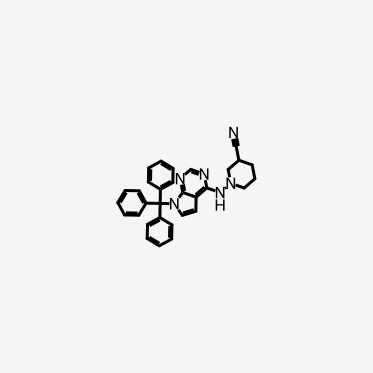 N#CC1CCCN(Nc2ncnc3c2ccn3C(c2ccccc2)(c2ccccc2)c2ccccc2)C1